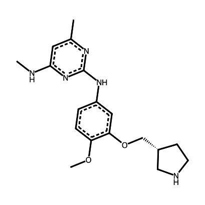 CNc1cc(C)nc(Nc2ccc(OC)c(OC[C@@H]3CCNC3)c2)n1